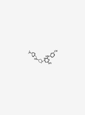 CCCc1cc(N2CCC(NCc3ccc(N(C)C)cc3)C2)nc(Nc2cccc(C#N)c2)n1